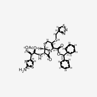 CC(=O)O/N=C(\C(=O)N[C@@H]1C(=O)N2C(C(=O)OC(c3ccccc3)c3ccccc3)=C(SCc3csnn3)CS[C@@H]12)c1csc(N)n1